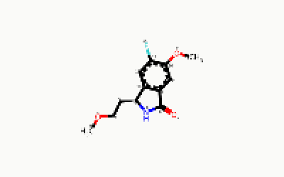 COCC[C@@H]1NC(=O)c2cc(OC)c(F)cc21